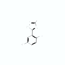 Cc1n[nH]c(-c2cc(F)ccc2Br)n1